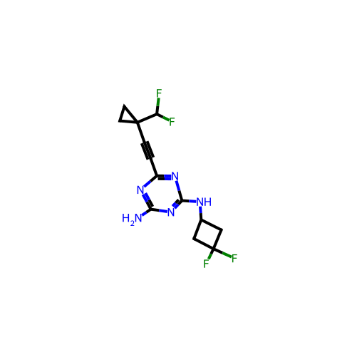 Nc1nc(C#CC2(C(F)F)CC2)nc(NC2CC(F)(F)C2)n1